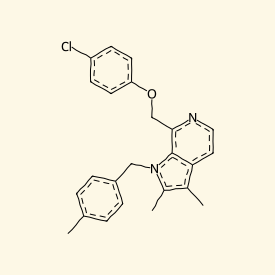 Cc1ccc(Cn2c(C)c(C)c3ccnc(COc4ccc(Cl)cc4)c32)cc1